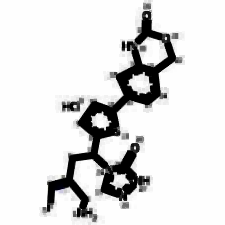 Cl.NC/C(=C\F)CC(c1ccc(-c2ccc3c(c2)NC(=O)OC3)s1)n1cn[nH]c1=O